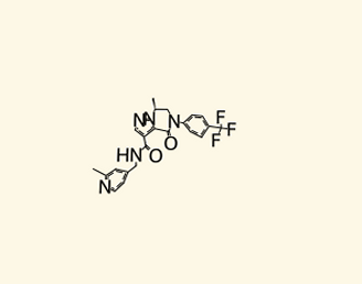 Cc1cc(CNC(=O)c2cnn3c2C(=O)N(c2ccc(C(F)(F)F)cc2)C[C@@H]3C)ccn1